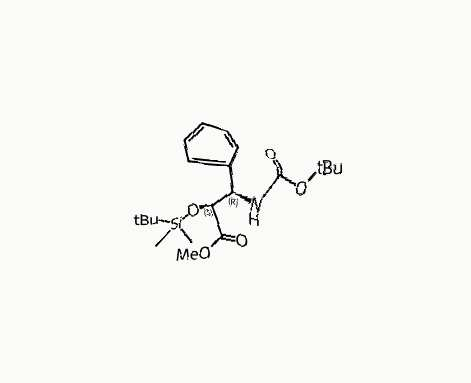 COC(=O)[C@@H](O[Si](C)(C)C(C)(C)C)[C@H](NC(=O)OC(C)(C)C)c1ccccc1